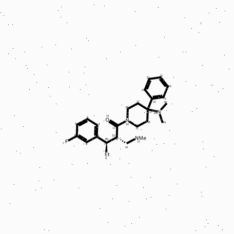 CC[C@@H](c1cccc(F)c1)[C@@H](CNC)C(=O)N1CCC(c2ccccc2)(N(C)C)CC1